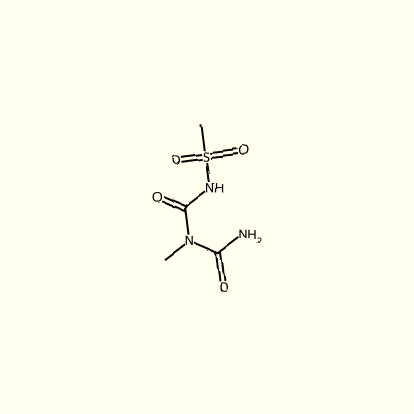 CN(C(N)=O)C(=O)NS(C)(=O)=O